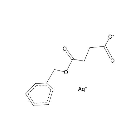 O=C([O-])CCC(=O)OCc1ccccc1.[Ag+]